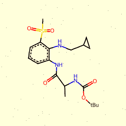 CC(NC(=O)OC(C)(C)C)C(=O)Nc1cccc(S(C)(=O)=O)c1NCC1CC1